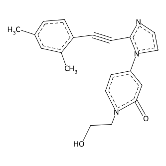 Cc1ccc(C#Cc2nccn2-c2ccn(CCO)c(=O)c2)c(C)c1